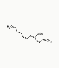 C=C\C=C/C(=C\C=C/CCC=C)OCC(C)C